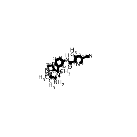 Cc1cc(C#N)cnc1C(=O)Nc1ccc(F)c([C@@]2(C)N=C(N)C(C)(C)S3(=O)=NCC[C@@H]23)c1